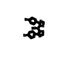 OC(c1scnc1-c1ccc(Br)cc1)c1scnc1-c1ccc(Br)cc1